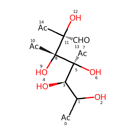 CC(=O)C(O)[C@@H](O)[C@@](O)(C(C)=O)[C@@](O)(C(C)=O)[C@@](O)(C=O)C(C)=O